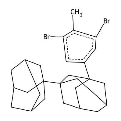 Cc1c(Br)cc(C23CC4CC(C2)CC(C25CC6CC(CC(C6)C2)C5)(C4)C3)cc1Br